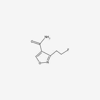 NC(=O)c1conc1CCF